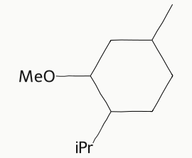 [CH2]OC1CC(C)CCC1C(C)C